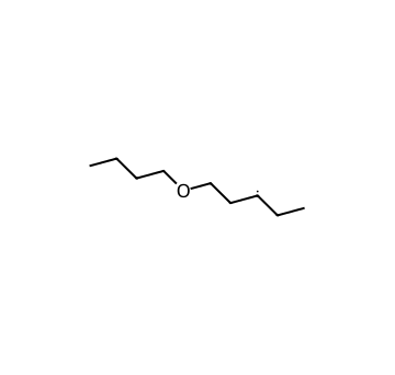 CC[CH]CCOCCCC